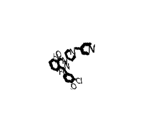 COc1ccc(C2=NN(C3CCN(Cc4ccncc4)CC3)C(=O)[C@H]3CC=CC[C@@H]23)cc1Cl